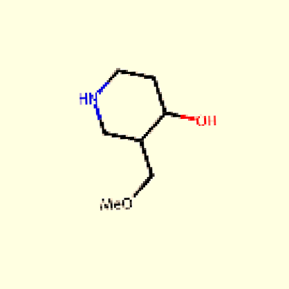 COCC1CNCCC1O